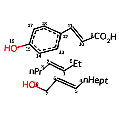 CC/C=C/CCC.CCCCCCC/C=C/CO.O=C(O)/C=C/c1ccc(O)cc1